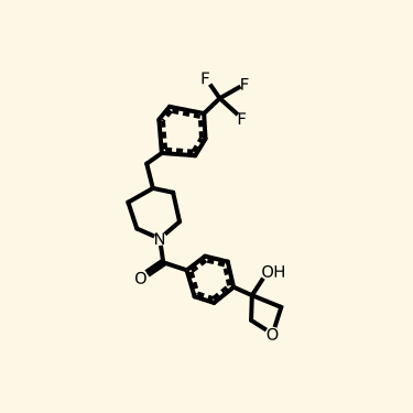 O=C(c1ccc(C2(O)COC2)cc1)N1CCC(Cc2ccc(C(F)(F)F)cc2)CC1